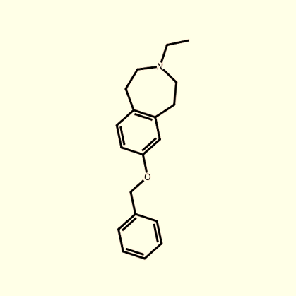 CCN1CCc2ccc(OCc3ccccc3)cc2CC1